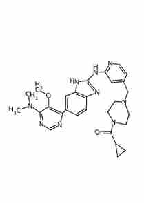 COc1c(-c2ccc3nc(Nc4cc(CN5CCN(C(=O)C6CC6)CC5)ccn4)[nH]c3c2)ncnc1N(C)C